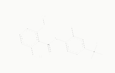 Cc1cc(C(F)(C(F)(F)F)C(F)(F)F)ccc1NC(=O)c1c(OC(F)(F)F)cccc1C(=O)O